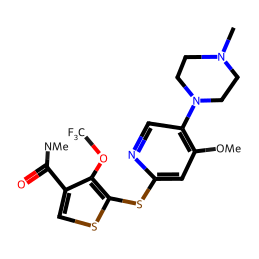 CNC(=O)c1csc(Sc2cc(OC)c(N3CCN(C)CC3)cn2)c1OC(F)(F)F